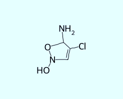 NC1ON(O)C=C1Cl